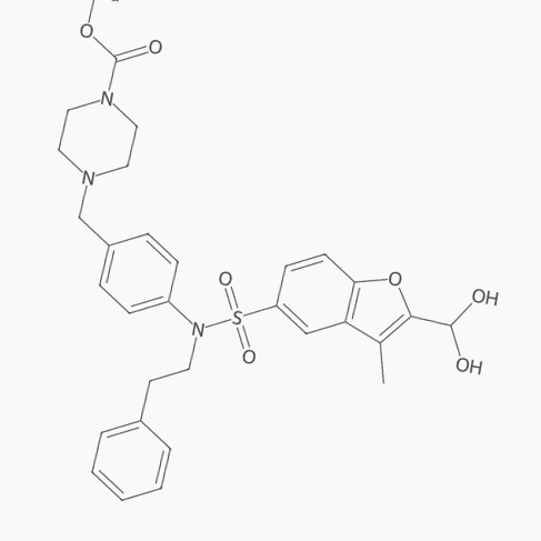 Cc1c(C(O)O)oc2ccc(S(=O)(=O)N(CCc3ccccc3)c3ccc(CN4CCN(C(=O)OC(C)(C)C)CC4)cc3)cc12